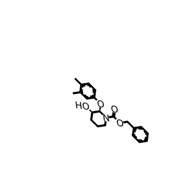 Cc1ccc(O[C@@H]2[C@H](O)CCCN2C(=O)OCc2ccccc2)cc1C